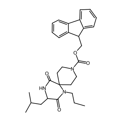 CCCN1C(=O)C(CC(C)C)NC(=O)C12CCN(C(=O)OCC1c3ccccc3-c3ccccc31)CC2